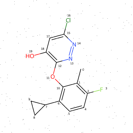 Cc1c(F)ccc(C2CC2)c1Oc1nnc(Cl)cc1O